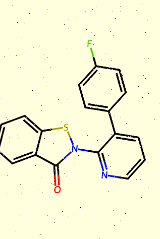 O=c1c2ccccc2sn1-c1ncccc1-c1ccc(F)cc1